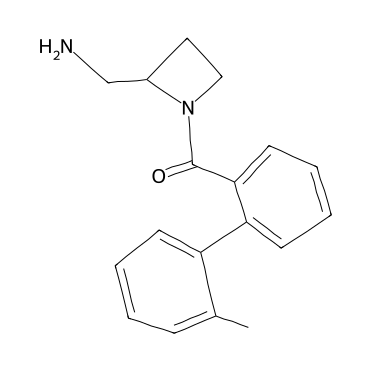 Cc1ccccc1-c1ccccc1C(=O)N1CCC1CN